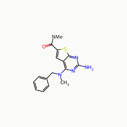 CNC(=O)c1cc2c(N(C)Cc3ccccc3)nc(N)nc2s1